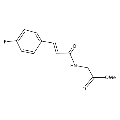 COC(=O)CNC(=O)C=Cc1ccc(F)cc1